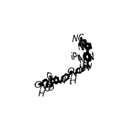 CC(C)Nc1cc(-c2ccc3cc(C#N)cnn23)ncc1-c1nnc(N2CCC(NC(=O)C3CCN(Cc4ccc5c(c4)C(=O)N([C@@H]4CCC(=O)NC4=O)C5=O)CC3)CC2)s1